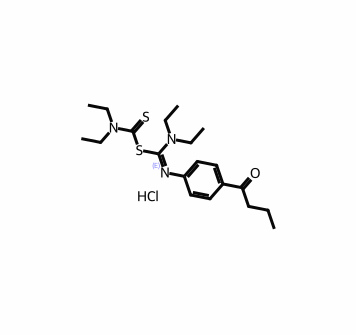 CCCC(=O)c1ccc(/N=C(/SC(=S)N(CC)CC)N(CC)CC)cc1.Cl